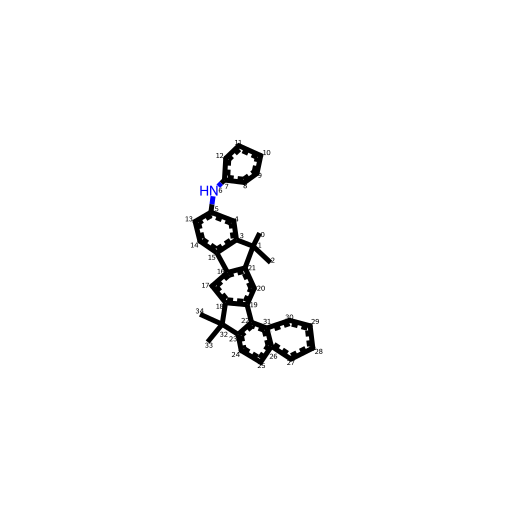 CC1(C)c2cc(Nc3ccccc3)ccc2-c2cc3c(cc21)-c1c(ccc2ccccc12)C3(C)C